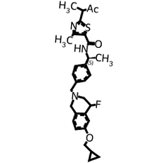 CC(=O)C(C)c1nc(C)c(C(=O)N[C@@H](C)c2ccc(CN3Cc4ccc(OCC5CC5)cc4C(F)C3)cc2)s1